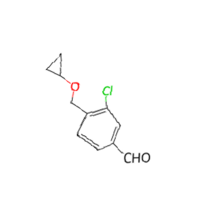 O=Cc1ccc(COC2CC2)c(Cl)c1